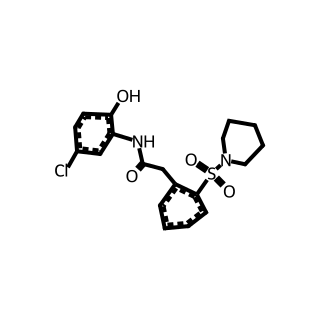 O=C(Cc1ccccc1S(=O)(=O)N1CCCCC1)Nc1cc(Cl)ccc1O